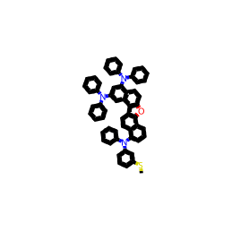 CSc1cccc(N(c2ccccc2)c2cccc3c2ccc2c3oc3ccc4c(N(c5ccccc5)c5ccccc5)cc(N(c5ccccc5)c5ccccc5)cc4c32)c1